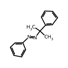 CC(C)(N=Nc1ccccc1)c1ccccc1